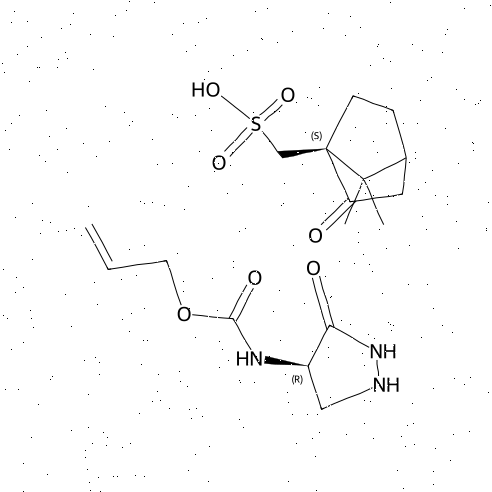 C=CCOC(=O)N[C@@H]1CNNC1=O.CC1(C)C2CC[C@@]1(CS(=O)(=O)O)C(=O)C2